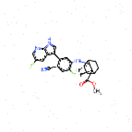 COC(=O)[C@H]1C2CCC(CC2)[C@@H]1Nc1cc(-c2c[nH]c3ncc(F)cc23)c(C#N)cc1F